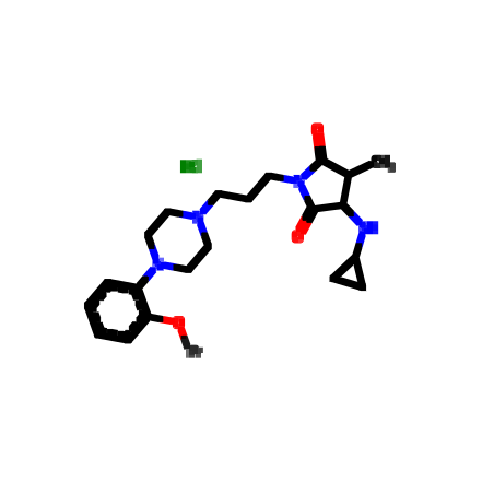 CC(C)Oc1ccccc1N1CCN(CCCN2C(=O)C(C)C(NC3CC3)C2=O)CC1.Cl